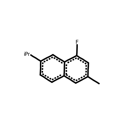 Cc1cc(F)c2cc(C(C)C)ccc2c1